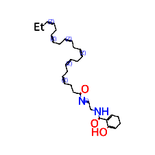 CC/C=C\C/C=C\C/C=C\C/C=C\C/C=C\C/C=C\CCC(=O)/N=C/CNC(=O)C1=CCCC=C1O